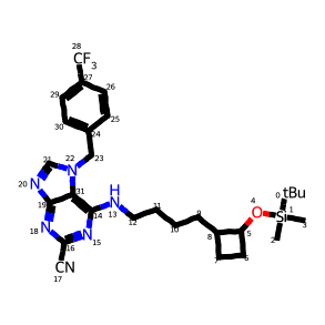 CC(C)(C)[Si](C)(C)OC1CCC1CCCCNc1nc(C#N)nc2ncn(Cc3ccc(C(F)(F)F)cc3)c12